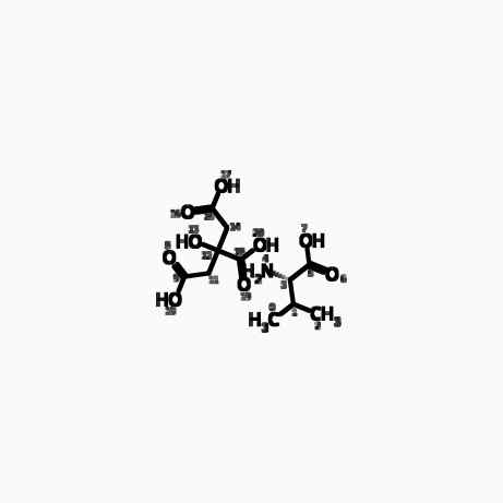 CC(C)[C@H](N)C(=O)O.O=C(O)CC(O)(CC(=O)O)C(=O)O